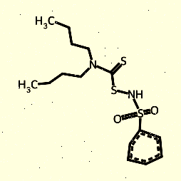 CCCCN(CCCC)C(=S)SNS(=O)(=O)c1ccccc1